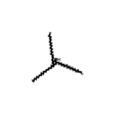 CCCCCCCCCCCCCCCCCCc1cc(CCCCCCCCCCCCCCCCCC)c(O)c(CCCCCCCCCCCCCCCCCC)c1